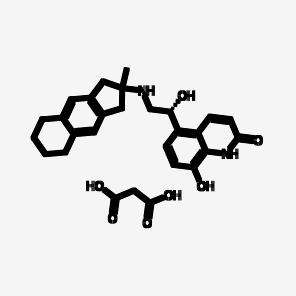 CC1(NC[C@H](O)c2ccc(O)c3[nH]c(=O)ccc23)Cc2cc3c(cc2C1)CCCC3.O=C(O)CC(=O)O